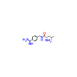 CC(C)C[C@H](N)C(=O)NCc1ccc(C(=N)N)cc1